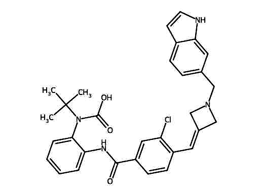 CC(C)(C)N(C(=O)O)c1ccccc1NC(=O)c1ccc(C=C2CN(Cc3ccc4cc[nH]c4c3)C2)c(Cl)c1